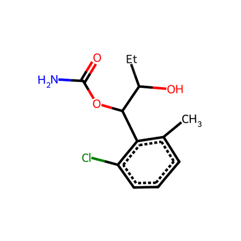 CCC(O)C(OC(N)=O)c1c(C)cccc1Cl